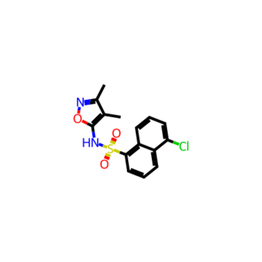 Cc1noc(NS(=O)(=O)c2cccc3c(Cl)cccc23)c1C